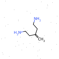 C=C(CCN)CCN